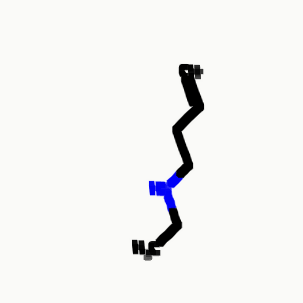 [CH]=CCCNCC